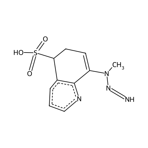 CN(N=N)C1=CCC(S(=O)(=O)O)c2cccnc21